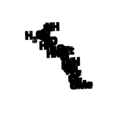 CCc1cc(Nc2nccn3c(-c4ccc(OC)c(F)c4F)cnc23)ccc1C(=O)N[C@H]1C[C@@H](NC(=O)C2CC[N+](C)(CC3CNC3)CC2)C1